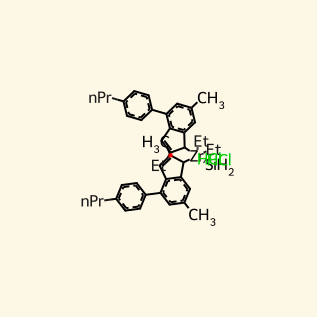 CCCc1ccc(-c2cc(C)cc3c2C=C(C)[CH]3[Zr](=[SiH2])([CH2]C)([CH2]C)[CH]2C(CC)=Cc3c(-c4ccc(CCC)cc4)cc(C)cc32)cc1.Cl.Cl